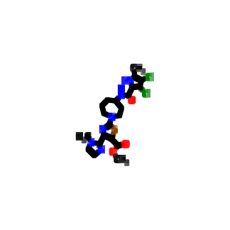 COC(=O)c1sc(N2CCCC(NC(=O)c3[nH]c(C)c(Cl)c3Cl)CC2)nc1-c1nccn1C